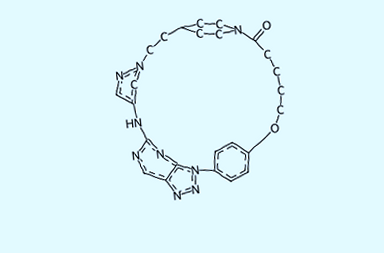 O=C1CCCCOc2ccc(cc2)-n2nnc3cnc(nc32)Nc2cnn(c2)CCC2CCN1CC2